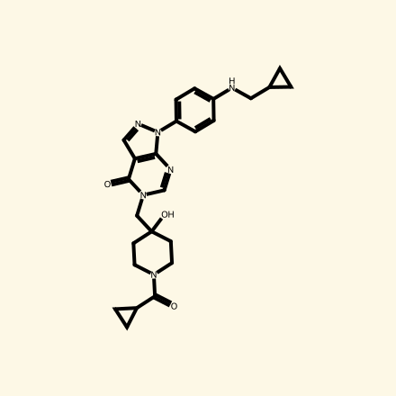 O=C(C1CC1)N1CCC(O)(Cn2cnc3c(cnn3-c3ccc(NCC4CC4)cc3)c2=O)CC1